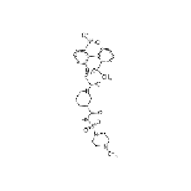 CC(C)c1ccccc1-c1c([N+](=O)[O-])[c]ccc1/C=C/C(=O)N1CCCC(C(=O)NS(=O)(=O)N2CCN(C)CC2)C1